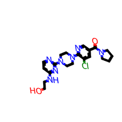 O=C(c1cnc(N2CCN(c3nccc(NCCO)n3)CC2)c(Cl)c1)N1CCCC1